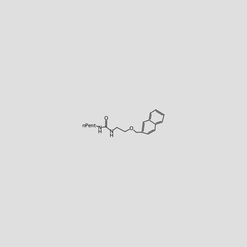 CCCCCNC(=O)NCCOCc1ccc2ccccc2c1